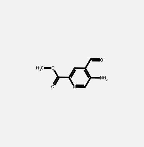 COC(=O)c1cc(C=O)c(N)cn1